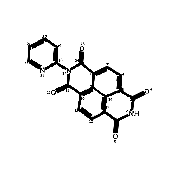 O=C1NC(=O)c2ccc3c4c(ccc1c24)C(=O)N(c1ccccn1)C3=O